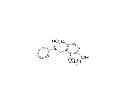 O=C(O)c1ccc(O)c(C(=O)O)c1CSc1ccccc1